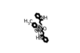 Cc1ccc(S(=O)(=O)NC(Cc2c[nH]c3ccccc23)C(=O)NCCc2c[nH]c3ccccc23)cc1